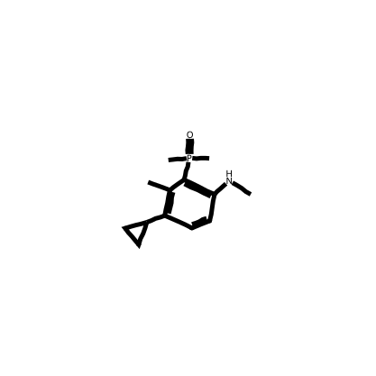 CNc1ccc(C2CC2)c(C)c1P(C)(C)=O